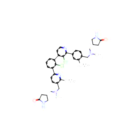 COc1cc(-c2nccc(-c3cccc(-c4ccc(CN(C)C[C@@H]5CNC(=O)C5)c(OC)n4)c3Cl)c2Cl)ccc1CN(C)C[C@@H]1CNC(=O)C1